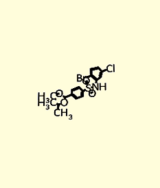 COC(OC(C)C)c1ccc(S(=O)(=O)Nc2cc(Cl)ccc2Br)cc1